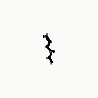 B=COPOC